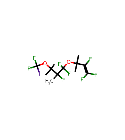 CC(C)(OC(F)(F)C(F)(C(F)(F)F)C(C)(C)OC(F)(F)I)C(F)=C(F)F